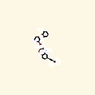 Cc1cccc(C)c1Oc1ccnc(C(=O)N[C@@H]2COc3ccc(C#CC(C)(C)O)cc3N(C)C2=O)c1